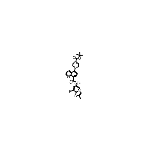 Cc1cn2cc(NC(=O)c3ccc(N4CCN(C(=O)OC(C)(C)C)CC4)c4cccnc34)cc(F)c2n1